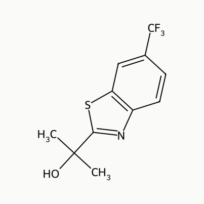 CC(C)(O)c1nc2ccc(C(F)(F)F)cc2s1